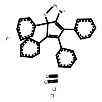 CC(C)NC1(c2ccccc2)[C]([Ru+3])=C(c2ccccc2)C(c2ccccc2)=C1c1ccccc1.[C]=O.[C]=O.[Cl-].[Cl-].[Cl-]